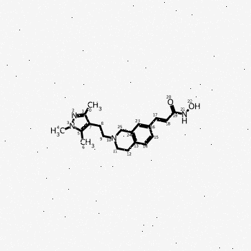 Cc1nn(C)c(C)c1CCN1CCc2ccc(C=CC(=O)NO)cc2C1